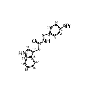 CC(C)c1ccc(CNC(=O)Cc2c[nH]c3ccccc23)cc1